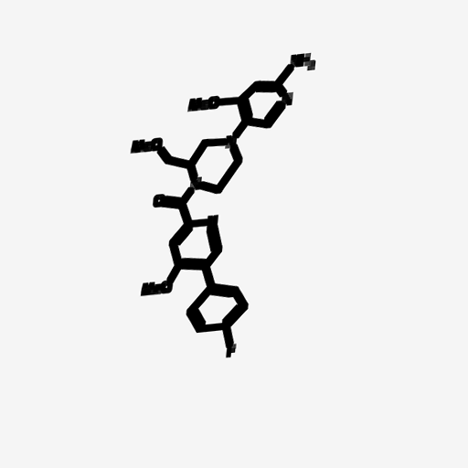 COCC1CN(c2cnc(N)cc2OC)CCN1C(=O)c1cc(OC)c(-c2ccc(F)cc2)cn1